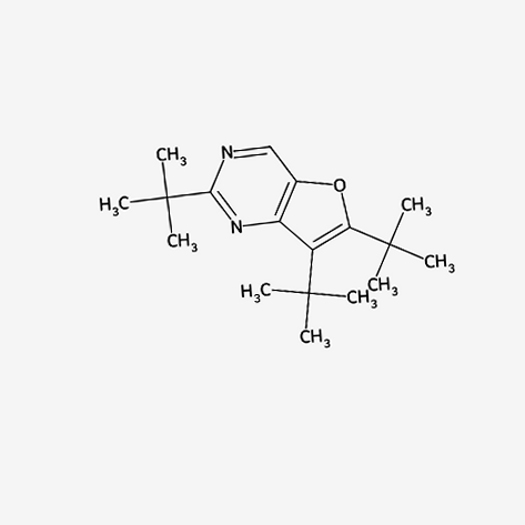 CC(C)(C)c1ncc2oc(C(C)(C)C)c(C(C)(C)C)c2n1